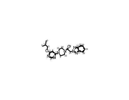 CC(C)COc1cc(N2CCN(C(=O)Cn3nc4ccccc4n3)CC2)ncn1